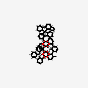 Cc1ccccc1-c1cccc(-c2cccc3c(-c4cccc5c4-c4ccccc4C54c5ccccc5-c5ccc6ccccc6c54)c4cccc(-c5cccc6c5[Si](c5ccccc5)(c5ccccc5)c5ccccc5-6)c4cc23)c1[SiH](c1ccccc1)c1ccccc1